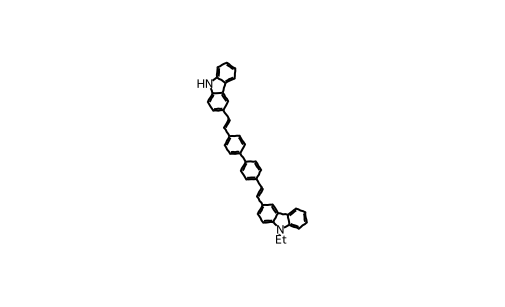 CCn1c2ccccc2c2cc(C=Cc3ccc(-c4ccc(C=Cc5ccc6[nH]c7ccccc7c6c5)cc4)cc3)ccc21